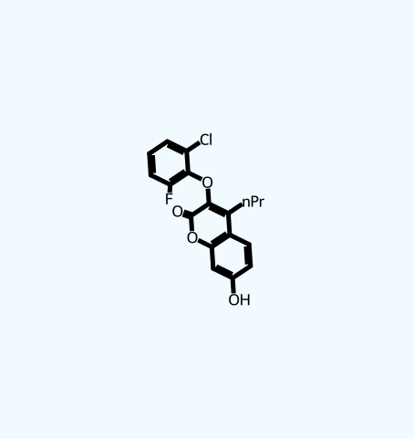 CCCc1c(Oc2c(F)cccc2Cl)c(=O)oc2cc(O)ccc12